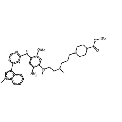 COc1cc(N(C)CCN(C)CCCN2CCN(C(=O)OC(C)(C)C)CC2)c(N)cc1Nc1nccc(-c2cn(C)c3ccccc23)n1